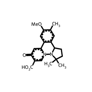 COc1cc2c(cc1C)C1CCC(C)(C)N1n1cc(C(=O)O)c(=O)cc1-2